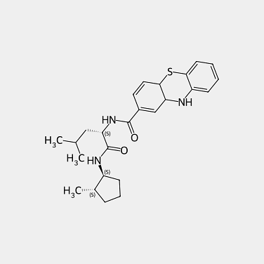 CC(C)C[C@H](NC(=O)C1=CC2Nc3ccccc3SC2C=C1)C(=O)N[C@H]1CCC[C@@H]1C